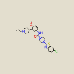 CCCN1CCC(c2cc(NC(=O)N3CCN(c4nc5ccc(Cl)cc5s4)CC3)ccc2OC)CC1